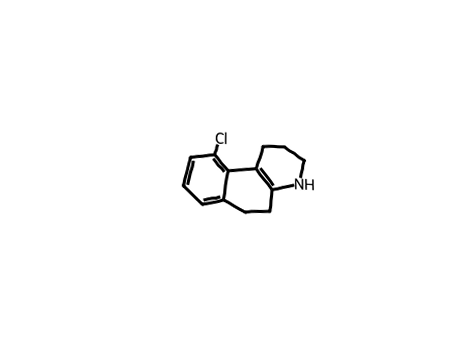 Clc1cccc2c1C1=C(CC2)NCCC1